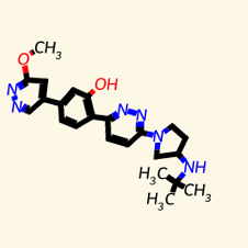 COc1cc(-c2ccc(-c3ccc(N4CCC(NC(C)(C)C)C4)nn3)c(O)c2)cnn1